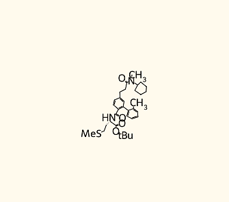 CSCC[C@H](NC(=O)c1ccc(CCC(=O)N(C)C2CCCCC2)cc1-c1ccccc1C)C(=O)OC(C)(C)C